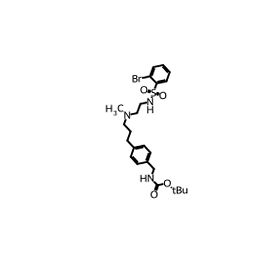 CN(CCCc1ccc(CNC(=O)OC(C)(C)C)cc1)CCNS(=O)(=O)c1ccccc1Br